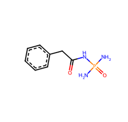 NP(N)(=O)NC(=O)Cc1ccccc1